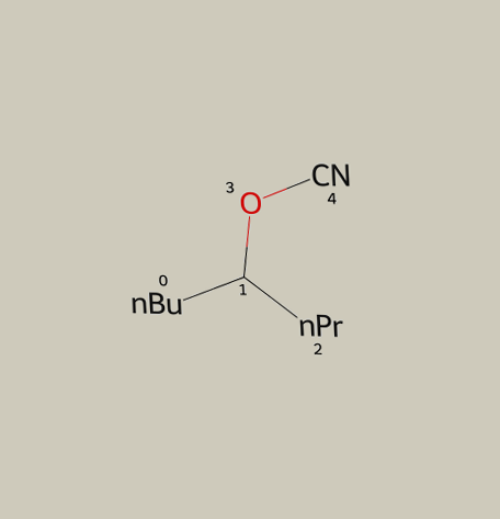 CCCCC(CCC)OC#N